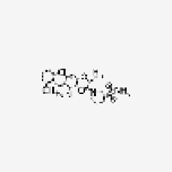 Cc1cccc(C)c1-c1ccnc2cc(OC(C)C(=O)N3CCC[C@H](S(N)(=O)=O)C3)ccc12